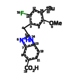 COc1cc(Cc2nc3cc(C(=O)O)ccc3[nH]2)c(F)cc1C(C)(C)C